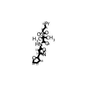 CC(C)CCS(=O)(=O)C(C)(C)C(=O)Nc1cc(C2CCCO2)no1